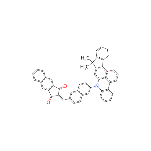 CC1(C)C2=C(CCC=C2)c2ccc(N(c3ccc4cc(C=C5C(=O)c6cc7ccccc7cc6C5=O)ccc4c3)c3ccccc3-c3ccccc3)cc21